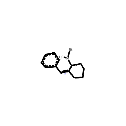 CCN(C)C1CCCC/C1=C/c1ccccc1